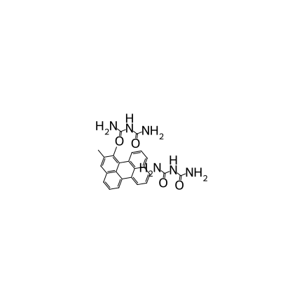 Cc1cc2cccc3c4cccc5cccc(c(c1C)c23)c54.NC(=O)NC(N)=O.NC(=O)NC(N)=O